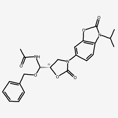 CC(=O)NC(OCc1ccccc1)[C@@H]1CN(c2ccc3c(c2)oc(=O)n3C(C)C)C(=O)O1